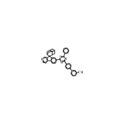 N#Cc1cccc(-c2ccc(-c3nc(-c4ccccc4)nc(-c4ccc5c(c4)C4(c6cnccc6-5)C5CC6CC(C5)CC4C6)n3)cc2)c1